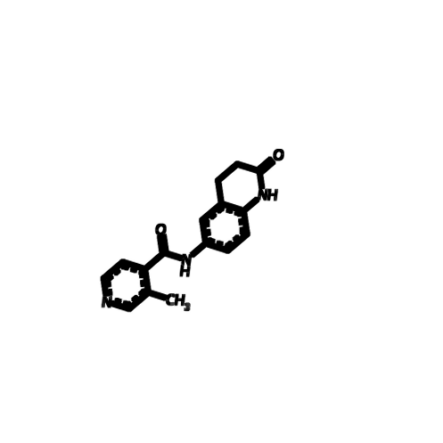 Cc1cnccc1C(=O)Nc1ccc2c(c1)CCC(=O)N2